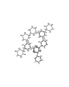 c1ccc(-c2nc(-c3cccc(-c4cc(C5CCCCC5)cc(C5CCCCC5)c4)c3)nc(-c3cc(C4CCCCC4)cc(C4CCCCC4)c3)n2)cc1